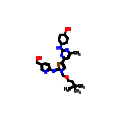 Cc1cc(-c2cn(COCC[Si](C)(C)C)/c(=N/c3ccc(CO)cn3)s2)nc(N[C@H]2CC[C@H](O)CC2)n1